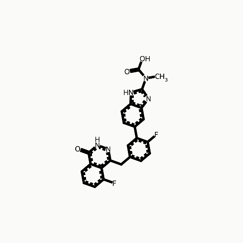 CN(C(=O)O)c1nc2cc(-c3cc(Cc4n[nH]c(=O)c5cccc(F)c45)ccc3F)ccc2[nH]1